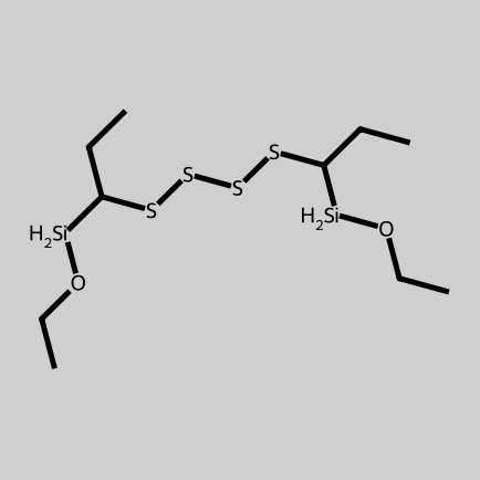 CCO[SiH2]C(CC)SSSSC(CC)[SiH2]OCC